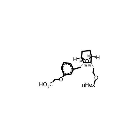 CCCCCCOCC[C@@H]1[C@H](Cc2cccc(OCC(=O)O)c2)[C@@H]2CC[C@H]1O2